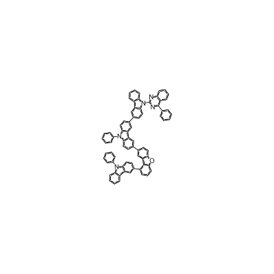 c1ccc(-c2nc(-n3c4ccccc4c4cc(-c5ccc6c(c5)c5cc(-c7ccc8oc9cccc(-c%10ccc%11c(c%10)c%10ccccc%10n%11-c%10ccccc%10)c9c8c7)ccc5n6-c5ccccc5)ccc43)nc3ccccc23)cc1